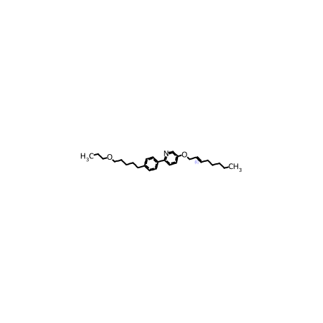 CCCCC/C=C/COc1ccc(-c2ccc(CCCCCOCCC)cc2)nc1